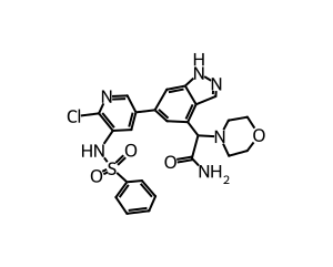 NC(=O)C(c1cc(-c2cnc(Cl)c(NS(=O)(=O)c3ccccc3)c2)cc2[nH]ncc12)N1CCOCC1